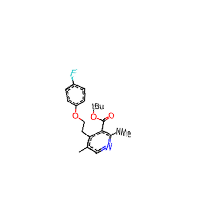 CNc1ncc(C)c(CCOc2ccc(F)cc2)c1C(=O)OC(C)(C)C